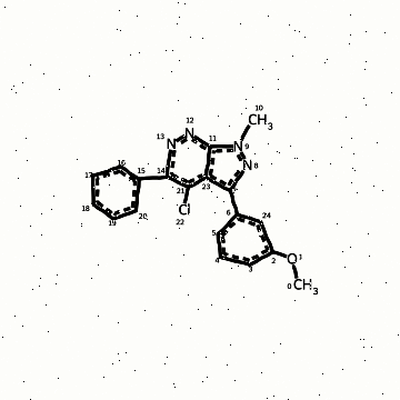 COc1cccc(-c2nn(C)c3nnc(-c4ccccc4)c(Cl)c23)c1